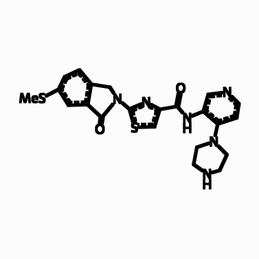 CSc1ccc2c(c1)C(=O)N(c1nc(C(=O)Nc3cnccc3N3CCNCC3)cs1)C2